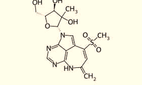 C=c1cc(S(C)(=O)=O)c2cn([C@@H]3O[C@H](CO)[C@@H](O)C3(C)O)c3ncnc([nH]1)c23